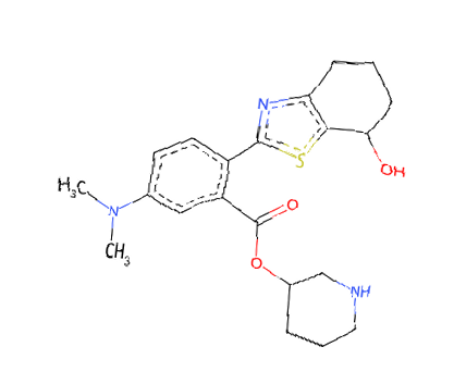 CN(C)c1ccc(-c2nc3c(s2)C(O)CCC3)c(C(=O)OC2CCCNC2)c1